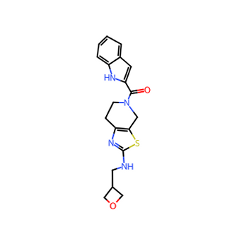 O=C(c1cc2ccccc2[nH]1)N1CCc2nc(NCC3COC3)sc2C1